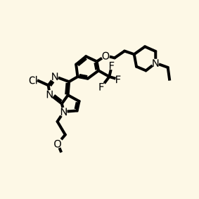 CCN1CCC(CCOc2ccc(-c3nc(Cl)nc4c3ccn4CCOC)cc2C(F)(F)F)CC1